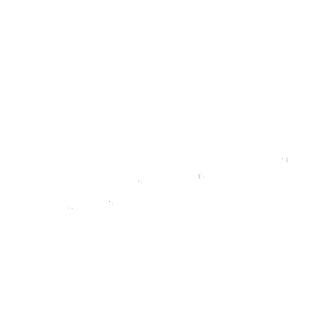 CN1CCN(c2ccc(C(=O)NCCc3c[nH]c4ccccc34)cn2)CC1